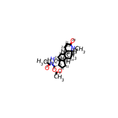 CC(=O)NC(OC(C)=O)[C@H]1CC[C@H]2[C@@H]3CC[C@H]4N(C)C(=O)C=C[C@]4(C)[C@H]3CC[C@]12C